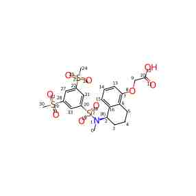 CN([C@@H]1CCCc2c(OCC(=O)O)cccc21)S(=O)(=O)c1cc(S(C)(=O)=O)cc(S(C)(=O)=O)c1